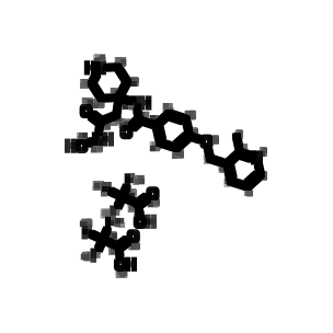 Cc1ncccc1COc1ccc(C(=O)NC2(CC(=O)NO)CCNCC2)cc1.O=C(O)C(F)(F)F.O=C(O)C(F)(F)F